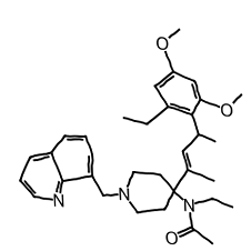 CCc1cc(OC)cc(OC)c1C(C)/C=C(\C)C1(N(CC)C(C)=O)CCN(Cc2cccc3cccnc23)CC1